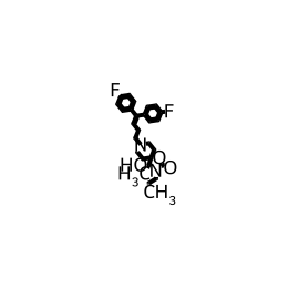 CCCN1C(=O)OC2(CCN(CCC=C(c3ccc(F)cc3)c3ccc(F)cc3)CC2)C1(C)O